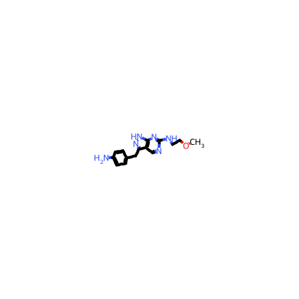 COCCNc1ncc2c(Cc3ccc(N)cc3)n[nH]c2n1